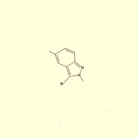 Cc1ccc2nn(C)c(Br)c2c1